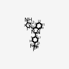 NC1CCN(c2nc(-c3ccc(C(F)(F)F)cc3)nc3ccccc23)C1